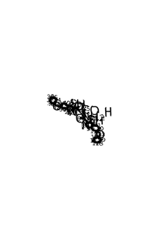 O=C(NC(NC(=O)c1ncc2cc(Oc3ccccc3)ccc2c1S)C(=O)O)c1ncc2cc(Oc3ccccc3)ccc2c1S